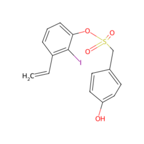 C=Cc1cccc(OS(=O)(=O)Cc2ccc(O)cc2)c1I